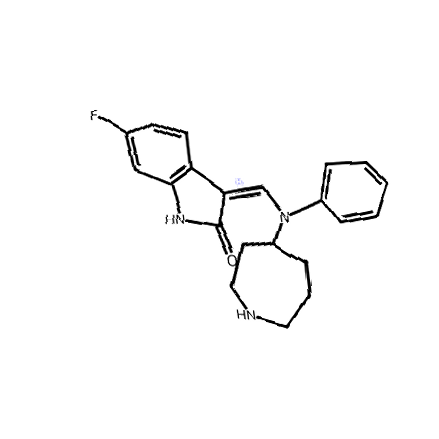 O=C1Nc2cc(F)ccc2/C1=C/N(c1ccccc1)C1CCCNCC1